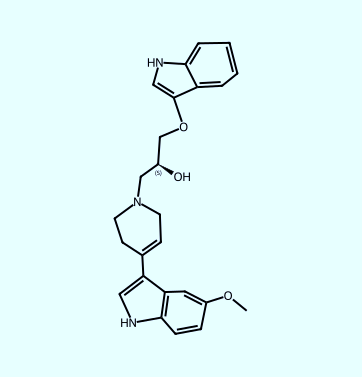 COc1ccc2[nH]cc(C3=CCN(C[C@H](O)COc4c[nH]c5ccccc45)CC3)c2c1